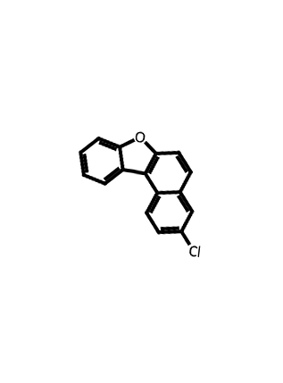 Clc1ccc2c(ccc3oc4ccccc4c32)c1